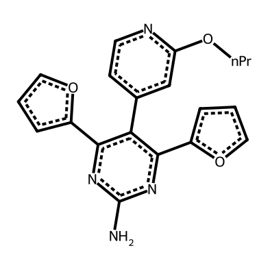 CCCOc1cc(-c2c(-c3ccco3)nc(N)nc2-c2ccco2)ccn1